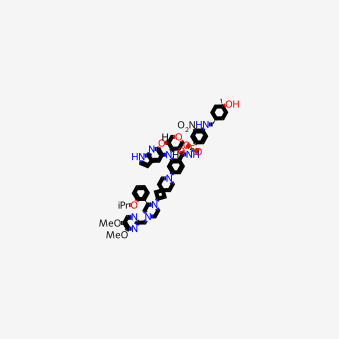 COc1cnc(CN2CCN(C3CC4(CCN(c5ccc(C(=O)NS(=O)(=O)c6ccc(NC[C@H]7CC[C@](C)(O)CC7)c([N+](=O)[O-])c6)c(N6c7cc8cc[nH]c8nc7O[C@H]7COCC[C@@H]76)c5)CC4)C3)[C@@H](c3ccccc3OC(C)C)C2)nc1OC